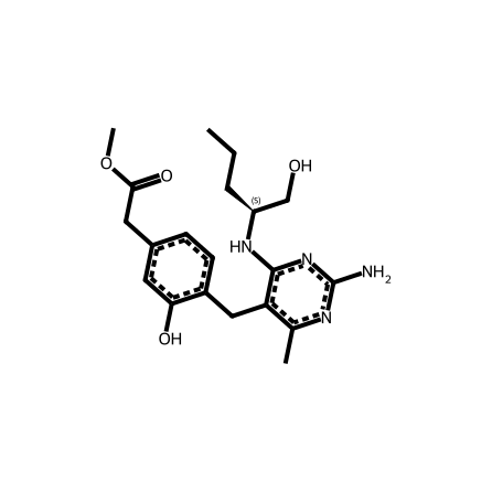 CCC[C@@H](CO)Nc1nc(N)nc(C)c1Cc1ccc(CC(=O)OC)cc1O